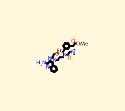 CCOCc1nc2c(N)nc3ccccc3c2n1CCCN(Cc1cccc(CC(=O)OC)c1)C(=O)CN(C)C